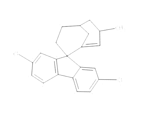 CC1C=C2CC(CCC23c2cc(Cl)ccc2-c2ccc(Cl)cc23)C1